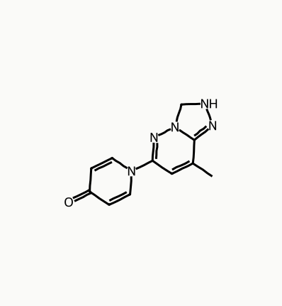 CC1=CC(n2ccc(=O)cc2)=NN2CNN=C12